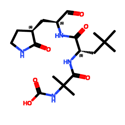 CC(C)(C)C[C@H](NC(=O)C(C)(C)NC(=O)O)C(=O)N[C@H](C=O)C[C@@H]1CCNC1=O